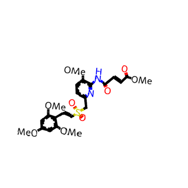 COC(=O)C=CC(=O)Nc1nc(CS(=O)(=O)C=Cc2c(OC)cc(OC)cc2OC)ccc1OC